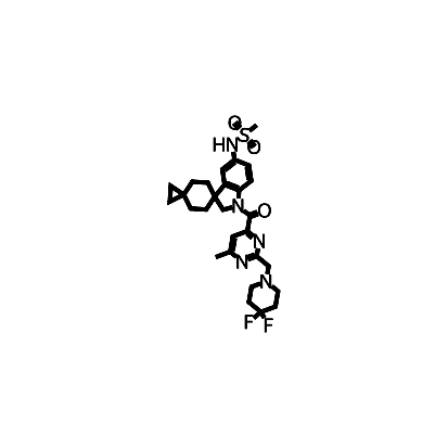 Cc1cc(C(=O)N2CC3(CCC4(CC4)CC3)c3cc(NS(C)(=O)=O)ccc32)nc(CN2CCC(F)(F)CC2)n1